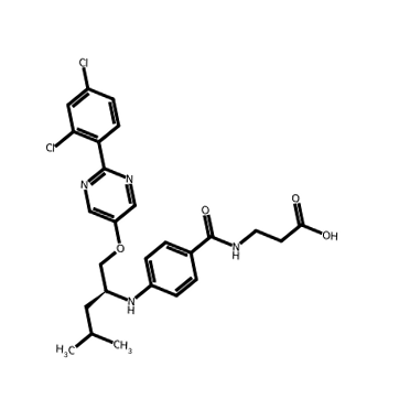 CC(C)C[C@@H](COc1cnc(-c2ccc(Cl)cc2Cl)nc1)Nc1ccc(C(=O)NCCC(=O)O)cc1